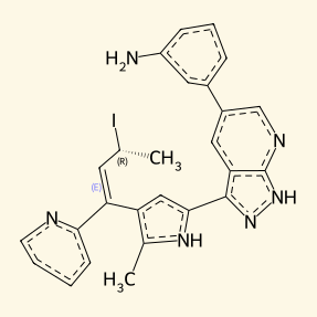 Cc1[nH]c(-c2n[nH]c3ncc(-c4cccc(N)c4)cc23)cc1/C(=C\[C@@H](C)I)c1ccccn1